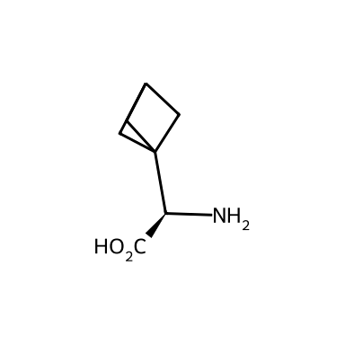 N[C@@H](C(=O)O)C12CC(C1)C2